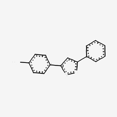 O=C(O)c1ccc(-c2cc(-c3ccccc3)on2)cc1